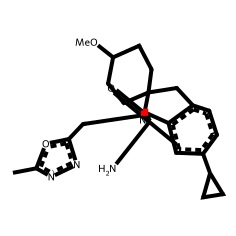 COC1CCC2(CC1)Cc1ccc(C3CC3)cc1C21N=C(N)N(Cc2nnc(C)o2)C1=O